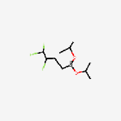 CC(C)O[SiH](CCC(F)C(F)F)OC(C)C